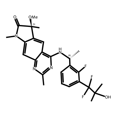 CO[C@]1(C)C(=O)N(C)c2cc3nc(C)nc(N[C@H](C)c4cccc(C(F)(F)C(C)(C)O)c4F)c3cc21